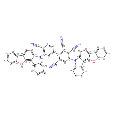 N#Cc1ccc(-c2c(C#N)cc(-n3c4ccccc4c4c5oc6ccccc6c5ccc43)c(C#N)c2C#N)cc1-n1c2ccccc2c2c3oc4ccccc4c3ccc21